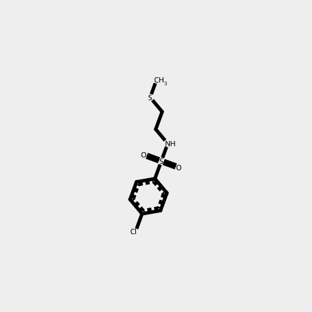 CSCCNS(=O)(=O)c1ccc(Cl)cc1